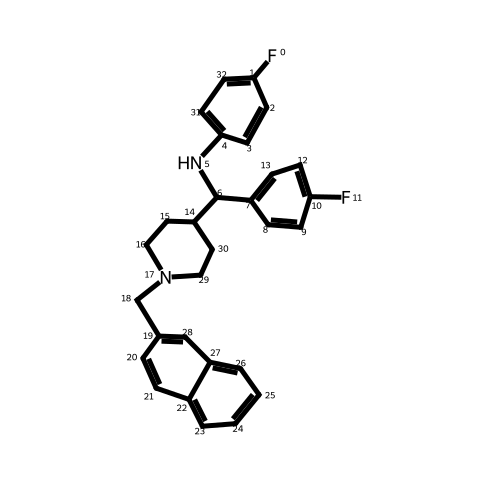 Fc1ccc(NC(c2ccc(F)cc2)C2CCN(Cc3ccc4ccccc4c3)CC2)cc1